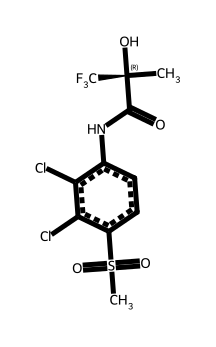 C[C@@](O)(C(=O)Nc1ccc(S(C)(=O)=O)c(Cl)c1Cl)C(F)(F)F